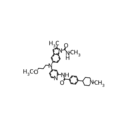 CNC(=O)n1c(C)cc2cc(N(CCCOC)c3ccnc(NC(=O)c4ccc(C5CCN(C)CC5)cc4)c3)ccc21